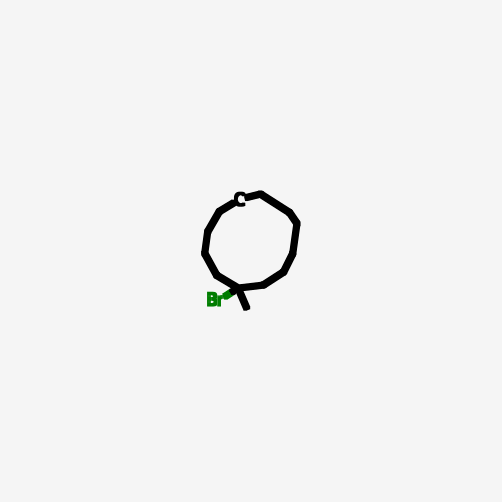 CC1(Br)CCCCCCCCCCC1